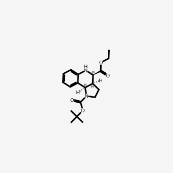 CCOC(=O)[C@@H]1Nc2ccccc2[C@H]2[C@@H]1CCN2C(=O)OC(C)(C)C